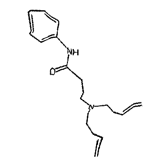 C=CCN(CC=C)CCC(=O)Nc1ccccc1